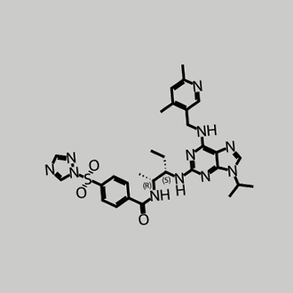 CC[C@H](Nc1nc(NCc2cnc(C)cc2C)c2ncn(C(C)C)c2n1)[C@@H](C)NC(=O)c1ccc(S(=O)(=O)n2cncn2)cc1